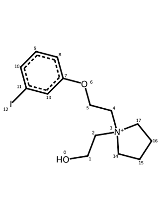 OCC[N+]1(CCOc2cccc(I)c2)CCCC1